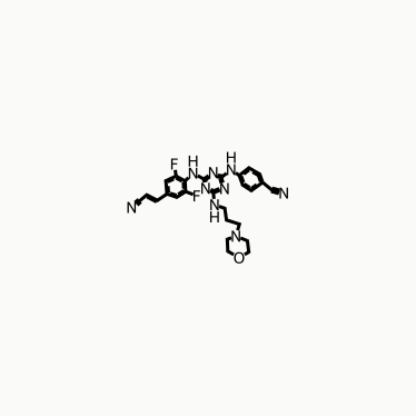 N#CC=Cc1cc(F)c(Nc2nc(NCCCN3CCOCC3)nc(Nc3ccc(C#N)cc3)n2)c(F)c1